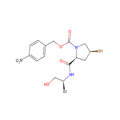 CC[C@@H](CO)NC(=O)[C@@H]1C[C@H](S)CN1C(=O)OCc1ccc([N+](=O)[O-])cc1